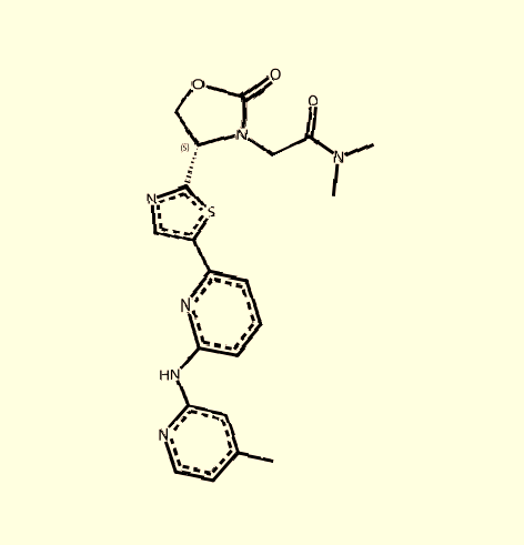 Cc1ccnc(Nc2cccc(-c3cnc([C@@H]4COC(=O)N4CC(=O)N(C)C)s3)n2)c1